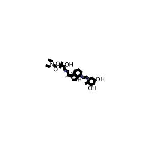 C=C1/C(=C\C=C2/CCC[C@]3(C)[C@@H]([C@H](C)/C=C/[C@@H](O)C(C)(C)OC(=O)N(CC)CC)CC[C@@H]23)C[C@@H](O)C[C@@H]1O